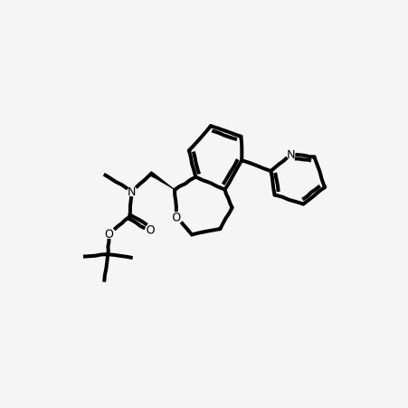 CN(C[C@@H]1OCCCc2c(-c3ccccn3)cccc21)C(=O)OC(C)(C)C